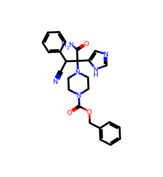 N#CC(c1ccccc1)C(C(N)=O)(c1cnc[nH]1)N1CCN(C(=O)OCc2ccccc2)CC1